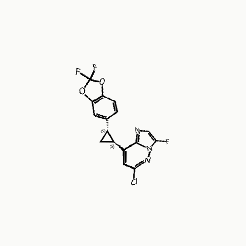 Fc1cnc2c([C@H]3C[C@@H]3c3ccc4c(c3)OC(F)(F)O4)cc(Cl)nn12